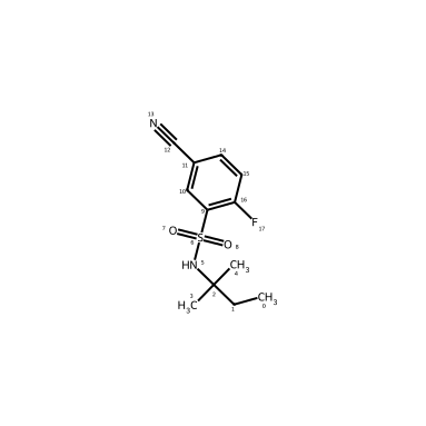 CCC(C)(C)NS(=O)(=O)c1cc(C#N)ccc1F